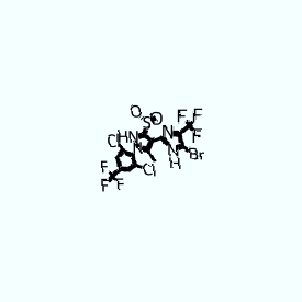 Cc1c(-c2nc(C(F)(F)F)c(Br)[nH]2)c(=S(=O)=O)[nH]n1-c1c(Cl)cc(C(F)(F)F)cc1Cl